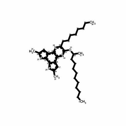 CCCCCCCCCCC(C)Oc1nc2c3cc(C)sc3c3sc(C)cc3c2nc1CCCCCCCC